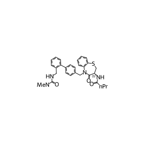 CCCC(=O)N[C@@H]1CSc2ccccc2N(Cc2ccc(-c3ccccc3CNC(=O)NC)cc2)C1=O